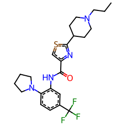 CCCN1CCC(c2nc(C(=O)Nc3cc(C(F)(F)F)ccc3N3CCCC3)cs2)CC1